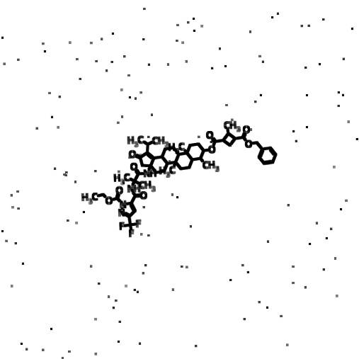 CCOC(=O)n1nc(C(F)(F)F)cc1C(=O)NC(C)(C)C(=O)NC12CCC3C(CCC4C3(C)CCC3C(C)C(OC(=O)C5CC(C(=O)OCc6ccccc6)C5C)CCC34C)C1=C(C(C)C)C(=O)C2